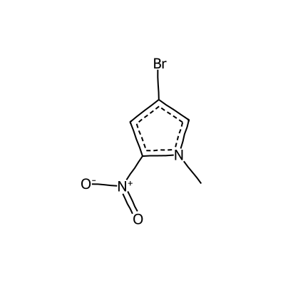 Cn1cc(Br)cc1[N+](=O)[O-]